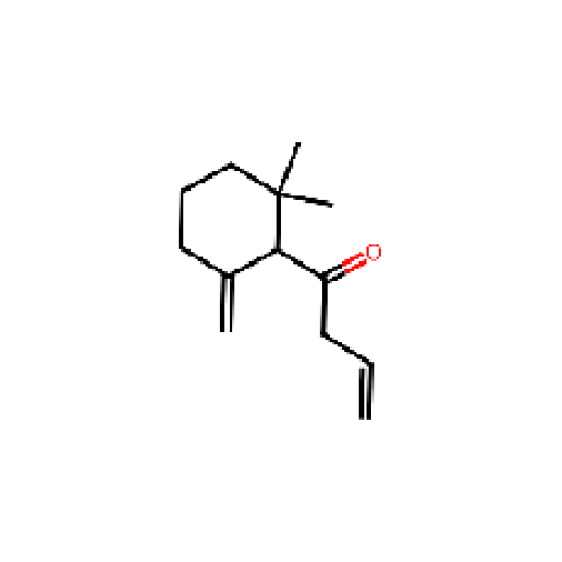 C=CCC(=O)C1C(=C)CCCC1(C)C